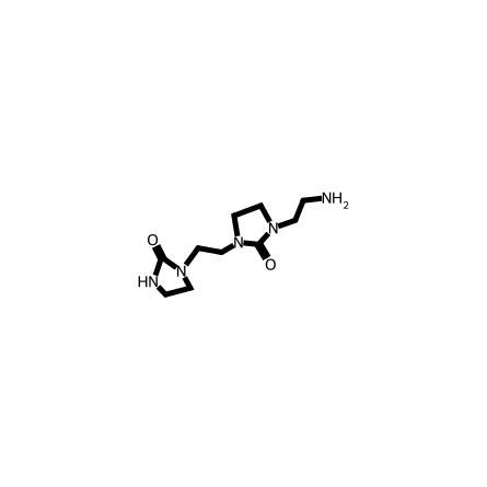 NCCN1CCN(CCN2CCNC2=O)C1=O